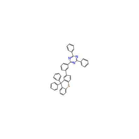 c1ccc(-c2nc(-c3ccccc3)nc(-c3cccc(-c4ccc5c(c4)C(c4ccccc4)(c4ccccc4)c4ccccc4S5)c3)n2)cc1